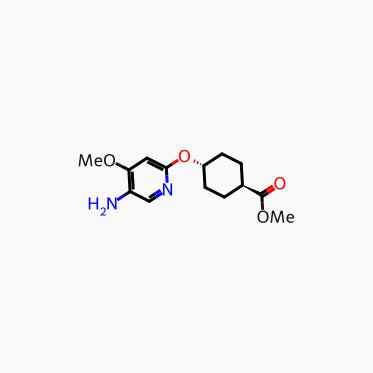 COc1cc(O[C@H]2CC[C@H](C(=O)OC)CC2)ncc1N